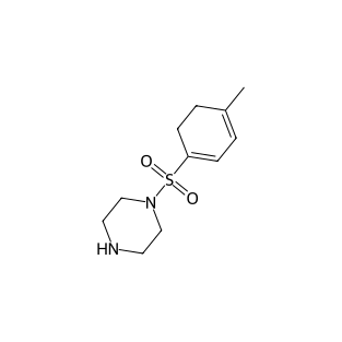 CC1=CC=C(S(=O)(=O)N2CCNCC2)CC1